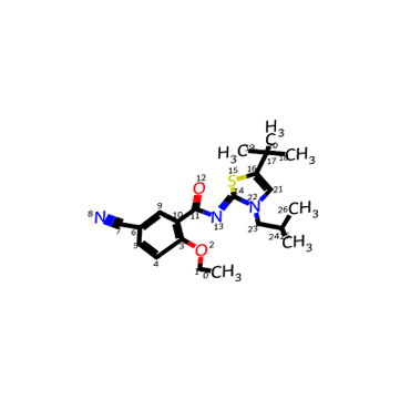 CCOc1ccc(C#N)cc1C(=O)N=c1sc(C(C)(C)C)cn1CC(C)C